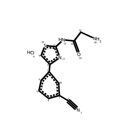 Cl.N#Cc1cccc(-c2csc(NC(=O)CN)n2)c1